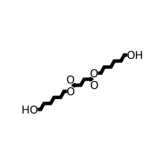 O=C(CCC(=O)OCCCCCCO)OCCCCCCO